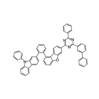 c1ccc(-c2cccc(-c3nc(-c4ccccc4)nc(-c4ccc5c(c4)oc4cccc(-c6ccccc6-c6ccc7c8ccccc8n(-c8ccccc8)c7c6)c45)n3)c2)cc1